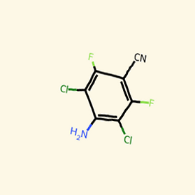 N#Cc1c(F)c(Cl)c(N)c(Cl)c1F